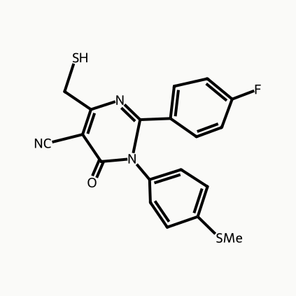 CSc1ccc(-n2c(-c3ccc(F)cc3)nc(CS)c(C#N)c2=O)cc1